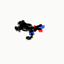 CSc1ncc2c(C#C[Si](C(C)C)(C(C)C)C(C)C)cc(=O)n(CC3CCNC3=O)c2n1